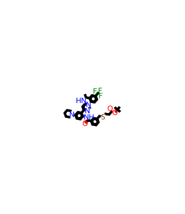 CC(Nc1cc(-c2cc(N3CCCCC3)ccc2NC(=O)c2cccc(CSCCC(=O)OC(C)(C)C)c2)ncn1)c1cccc(C(F)(F)F)c1